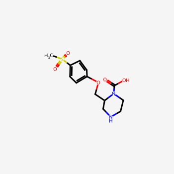 CS(=O)(=O)c1ccc(OCC2CNCCN2C(=O)O)cc1